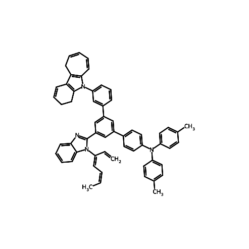 C=C/C(=C\C=C/C)n1c(-c2cc(-c3ccc(N(c4ccc(C)cc4)c4ccc(C)cc4)cc3)cc(-c3cccc(-n4c5c(c6c4CCC=C6)CC=CC=C5)c3)c2)nc2ccccc21